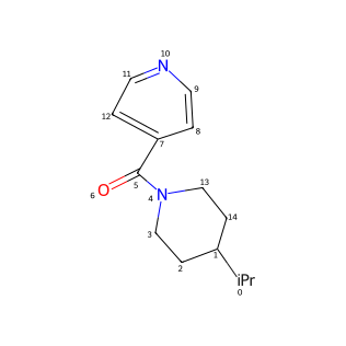 CC(C)C1CCN(C(=O)c2ccncc2)CC1